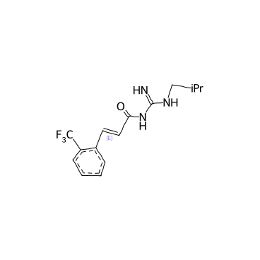 CC(C)CNC(=N)NC(=O)/C=C/c1ccccc1C(F)(F)F